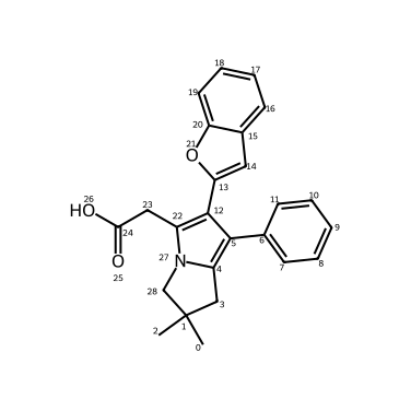 CC1(C)Cc2c(-c3ccccc3)c(-c3cc4ccccc4o3)c(CC(=O)O)n2C1